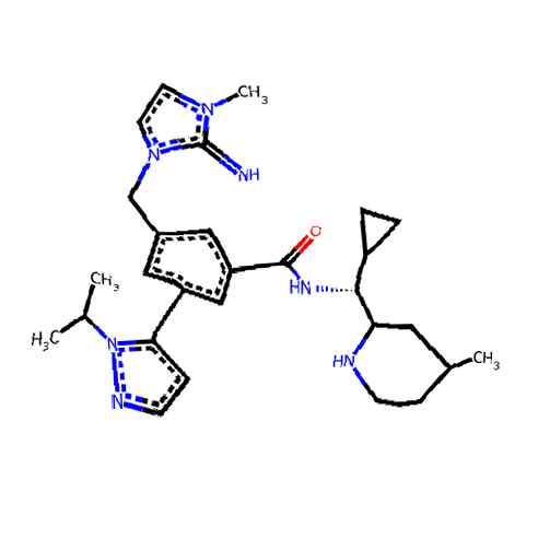 CC1CCNC([C@H](NC(=O)c2cc(Cn3ccn(C)c3=N)cc(-c3ccnn3C(C)C)c2)C2CC2)C1